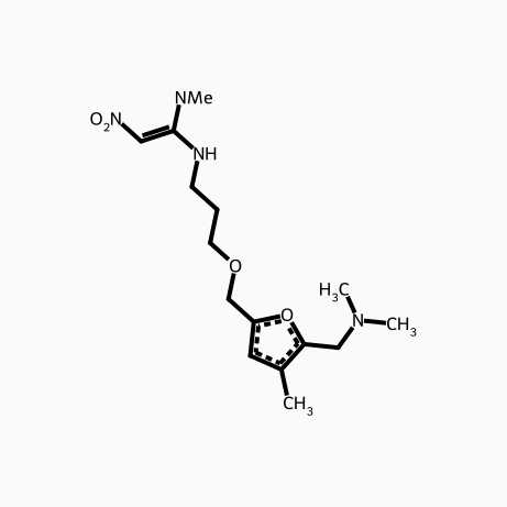 CNC(=C[N+](=O)[O-])NCCCOCc1cc(C)c(CN(C)C)o1